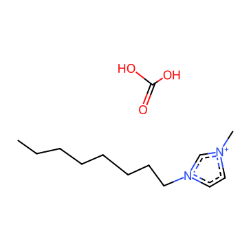 CCCCCCCCn1cc[n+](C)c1.O=C(O)O